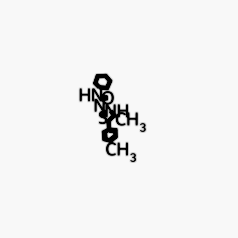 Cc1ccc(C2S/C(=N/C(=O)NC3CCCCC3)NC2C)cc1